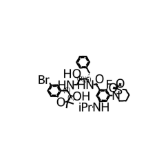 CC(C)Nc1cc(C(=O)N[C@@H](Cc2ccccc2)[C@H](O)CN[C@H]2c3cc(Br)ccc3OC(C)(C)[C@@H]2O)c(F)c(N2CCCCS2(=O)=O)c1